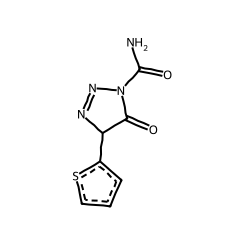 NC(=O)N1N=NC(c2cccs2)C1=O